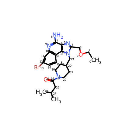 CCOCc1nc2c(N)nc3cc(Br)ccc3c2n1CC1CCN(C(=O)CC(C)C)CC1